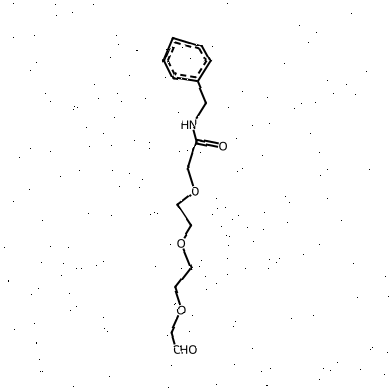 O=CCOCCOCCOCC(=O)NCc1ccccc1